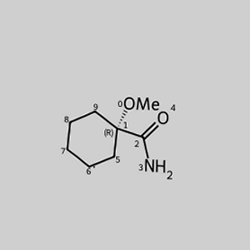 CO[C@]1(C(N)=O)C[CH]CCC1